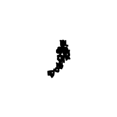 Cc1nn(C)cc1S(=O)(=O)NC(=O)c1ccc(-n2ccc(OCC3C4CCC45CC35)n2)nc1N1C[C@@H](C)CC1(C)C